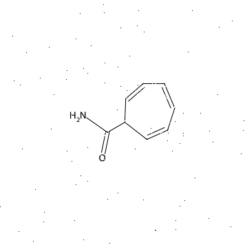 NC(=O)C1C=CC=CC=C1